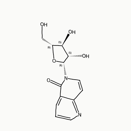 O=c1c2cccnc2ccn1[C@@H]1O[C@H](CO)[C@@H](O)[C@@H]1O